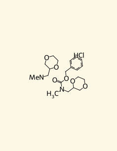 CN(CC1COCCO1)C(=O)OCc1ccccc1.CNCC1COCCO1.Cl